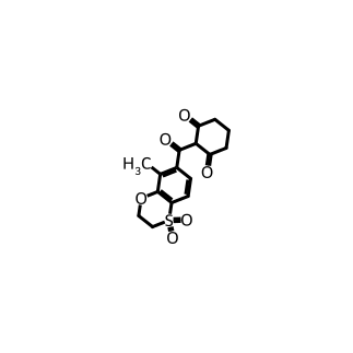 Cc1c(C(=O)C2C(=O)CCCC2=O)ccc2c1OCCS2(=O)=O